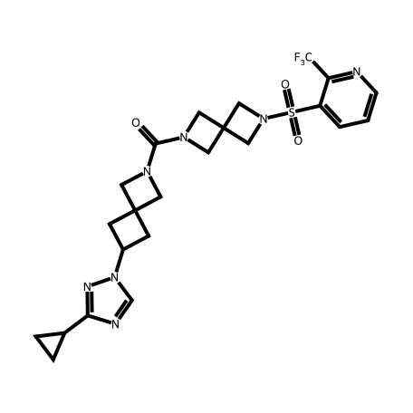 O=C(N1CC2(CC(n3cnc(C4CC4)n3)C2)C1)N1CC2(C1)CN(S(=O)(=O)c1cccnc1C(F)(F)F)C2